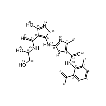 C=C(C)c1cccc(C)c1NC(=O)c1sc(Nc2snc(O)c2C(=N)NC(O)CO)nc1C